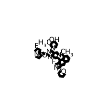 CCc1cccc2cc3c(cnn3C3CCCCO3)c(-c3ncc4c(N5CCC[C@@](C)(O)C5)nc(OC[C@@]56CCCN5C[C@H](F)C6)nc4c3F)c12